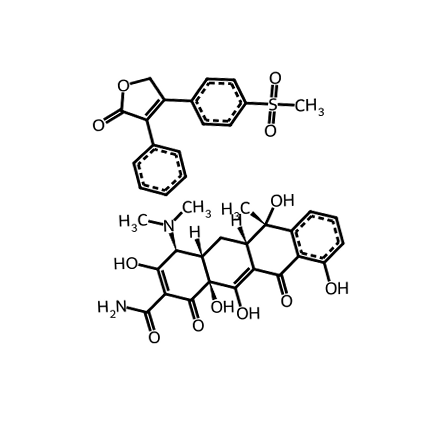 CN(C)[C@@H]1C(O)=C(C(N)=O)C(=O)[C@@]2(O)C(O)=C3C(=O)c4c(O)cccc4[C@@](C)(O)[C@H]3C[C@@H]12.CS(=O)(=O)c1ccc(C2=C(c3ccccc3)C(=O)OC2)cc1